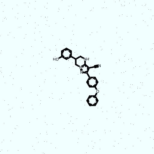 N#Cc1c(-c2ccc(Oc3ccccc3)cc2)nn2c1NCC(c1cccc(O)c1)C2